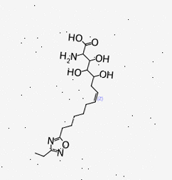 CCc1noc(CCCCC/C=C\CC(O)C(O)C(O)C(N)C(=O)O)n1